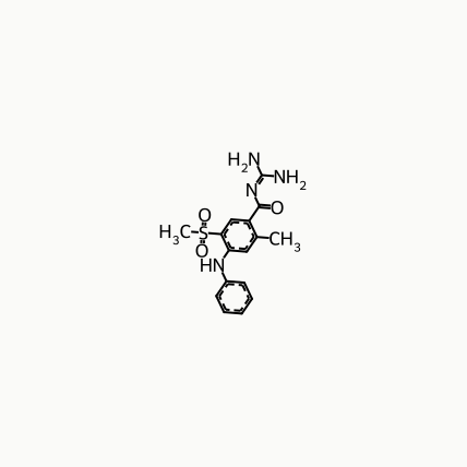 Cc1cc(Nc2ccccc2)c(S(C)(=O)=O)cc1C(=O)N=C(N)N